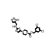 O=C(OCc1cc(Cl)cc(Cl)c1)N1CCN(c2cnc(NCc3cnn[nH]3)s2)CC1